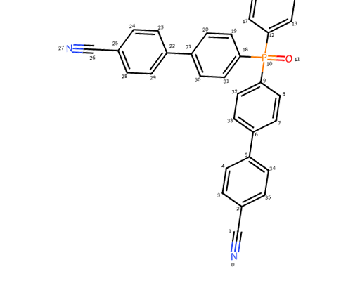 N#Cc1ccc(-c2ccc(P(=O)(c3ccccc3)c3ccc(-c4ccc(C#N)cc4)cc3)cc2)cc1